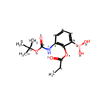 CCC(=O)Oc1c(NC(=O)OC(C)(C)C)cccc1B(O)O